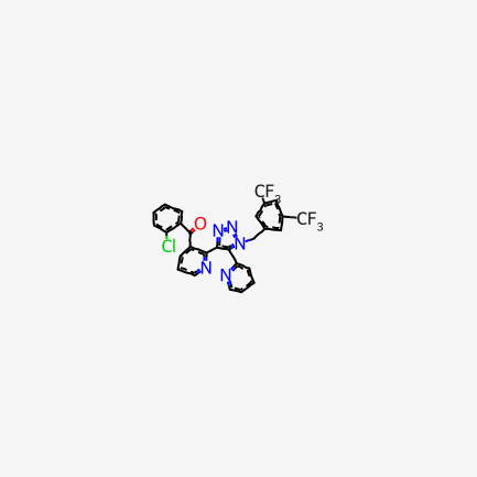 O=C(c1ccccc1Cl)c1cccnc1-c1nnn(Cc2cc(C(F)(F)F)cc(C(F)(F)F)c2)c1-c1ccccn1